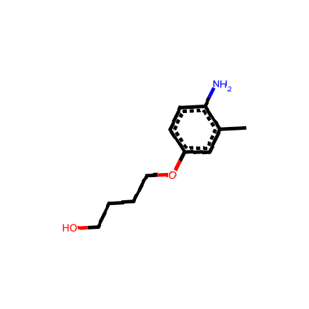 Cc1cc(OCCCCO)ccc1N